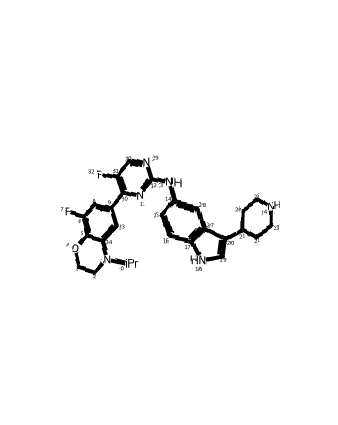 CC(C)N1CCOc2c(F)cc(-c3nc(Nc4ccc5[nH]cc(C6CCNCC6)c5c4)ncc3F)cc21